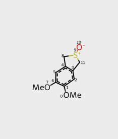 COc1cc2c(cc1OC)C[S+]([O-])C2